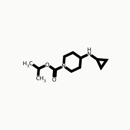 CC(C)OC(=O)N1CCC(NC2CC2)CC1